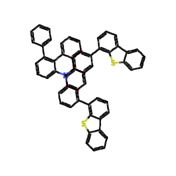 c1ccc(-c2ccccc2-c2c(-c3ccccc3)cccc2N(c2ccc(-c3cccc4c3sc3ccccc34)cc2)c2cccc(-c3cccc4c3sc3ccccc34)c2)cc1